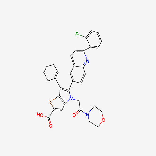 O=C(O)c1cc2c(s1)c(C1=CCCCC1)c(-c1ccc3nc(-c4ccccc4F)ccc3c1)n2CC(=O)N1CCOCC1